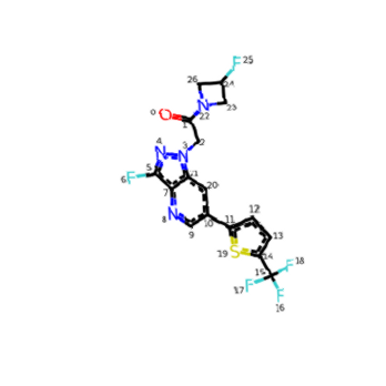 O=C(Cn1nc(F)c2ncc(-c3ccc(C(F)(F)F)s3)cc21)N1CC(F)C1